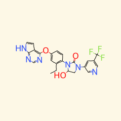 CCc1cc(Oc2ncnc3[nH]ccc23)ccc1N1C(=O)N(c2cncc(C(F)(F)F)c2)CC1O